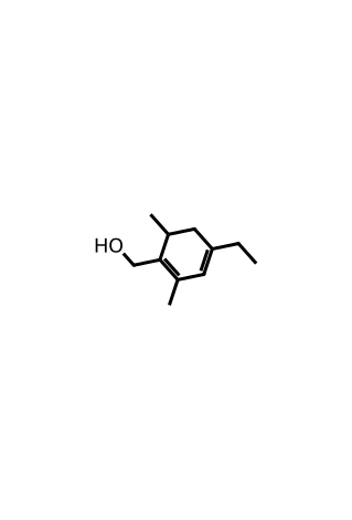 CCC1=CC(C)=C(CO)C(C)C1